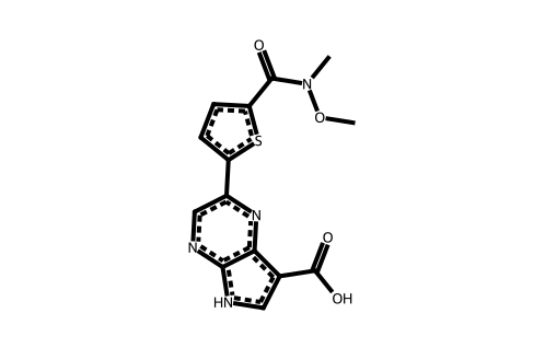 CON(C)C(=O)c1ccc(-c2cnc3[nH]cc(C(=O)O)c3n2)s1